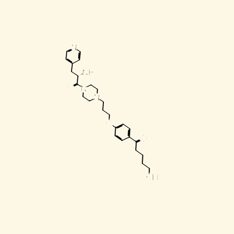 CCCCCC(=O)c1ccc(OCCCN2CCN(C(=O)[C@H](N)Cc3ccncc3)CC2)cc1